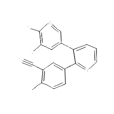 N#Cc1cc(-c2ncccc2-c2cnc(N)c(N)c2)ccc1F